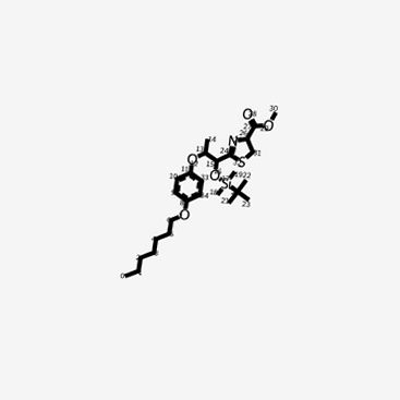 CCCCCCCOc1ccc(OC(C)C(O[Si](C)(C)C(C)(C)C)C2=NC(C(=O)OC)CS2)cc1